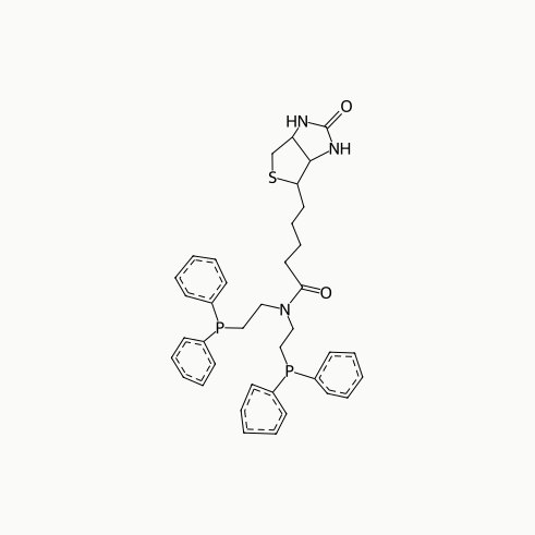 O=C1NC2CSC(CCCCC(=O)N(CCP(c3ccccc3)c3ccccc3)CCP(c3ccccc3)c3ccccc3)C2N1